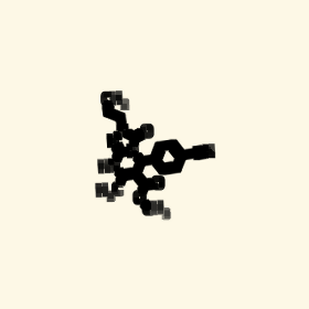 C=CCn1nc2n(c1=O)C(c1ccc(C#N)cc1)C(C(=O)OC)=C(C)N2